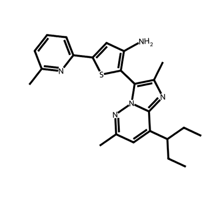 CCC(CC)c1cc(C)nn2c(-c3sc(-c4cccc(C)n4)cc3N)c(C)nc12